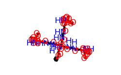 CC(=O)NC1C(OCCCCC(=O)NCCCNC(=O)CCOCC(COCCC(=O)NCCCNC(=O)CCCCOC2OC(COC(C)=O)C(OC(C)=O)C(OC(C)=O)C2NC(C)=O)(COCCC(=O)NCCCNC(=O)CCCCOC2OC(COC(C)=O)C(OC(C)=O)C(OC(C)=O)C2NC(C)=O)NC(=O)CCCC(=O)OCc2ccccc2)OC(COC(C)=O)C(OC(C)=O)C1OC(C)=O